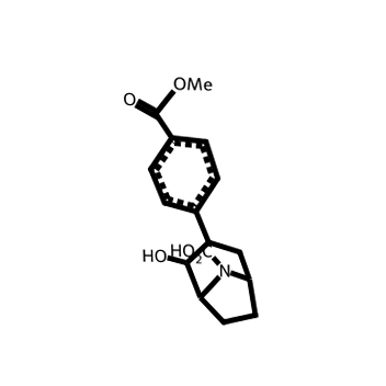 COC(=O)c1ccc(C2CC3CCC(C2O)N3C(=O)O)cc1